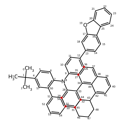 CC(C)(C)c1ccc(N(c2ccc(-c3ccc4c(c3)oc3ccccc34)cc2)c2ccccc2-c2cccc3cccc(C4CCCCC4)c23)c(-c2ccccc2)c1